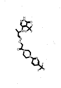 CC(/C=N/OCC(=O)N1CCN(c2ccc(C(F)(F)F)cn2)CC1)Nc1cn[nH]c(=O)c1C(F)(F)F